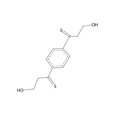 OCCC(=S)c1ccc(C(=S)CCO)cc1